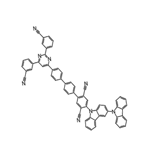 N#Cc1cccc(-c2cc(-c3ccc(-c4ccc(-c5cc(C#N)c(-n6c7ccccc7c7cc(-n8c9ccccc9c9ccccc98)ccc76)cc5C#N)cc4)cc3)nc(-c3cccc(C#N)c3)n2)c1